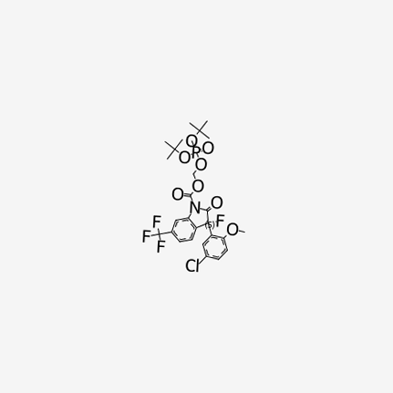 COc1ccc(Cl)cc1[C@]1(F)C(=O)N(C(=O)OCOP(=O)(OC(C)(C)C)OC(C)(C)C)c2cc(C(F)(F)F)ccc21